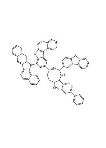 CC1CC/C(c2cc(-n3c4cc5ccccc5cc4c4ccc5ccccc5c43)c3oc4ccc5ccccc5c4c3c2)=N\C(c2ccc3sc4ccccc4c3c2)NC1c1ccc(-c2ccccc2)cc1